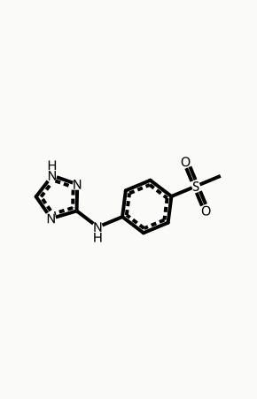 CS(=O)(=O)c1ccc(Nc2nc[nH]n2)cc1